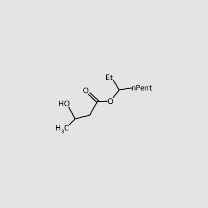 CCCCCC(CC)OC(=O)CC(C)O